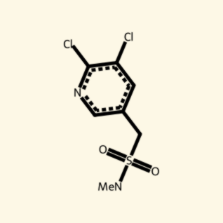 CNS(=O)(=O)Cc1cnc(Cl)c(Cl)c1